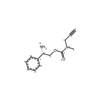 C#CCN(C)C(=O)OC[C@@H](N)c1ccccc1